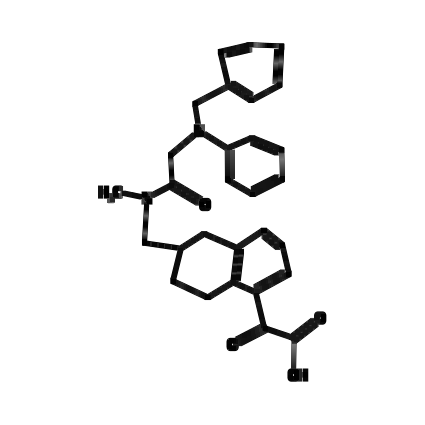 CN(CC1CCc2c(cccc2C(=O)C(=O)O)C1)C(=O)CN(Cc1ccccc1)c1ccccc1